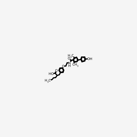 CCCCC(Cc1ccc(OCCNC(=O)c2c(C)cc(-c3ccc(O)cc3)cc2C)cc1)C(=O)O